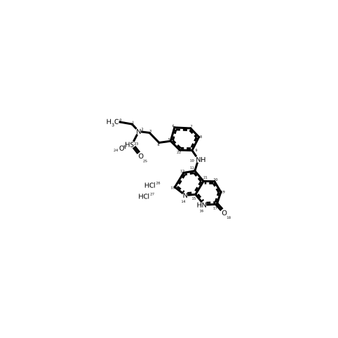 CCN(CCc1cccc(Nc2ccnc3[nH]c(=O)ccc23)c1)[SH](=O)=O.Cl.Cl